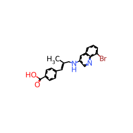 CC(=Cc1ccc(C(=O)O)cc1)CNc1cnc2c(Br)cccc2c1